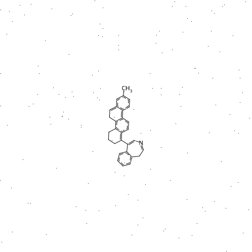 Cc1ccc2c(c1)=CCc1c3c(ccc1=2)=C(C1=CN=CCc2ccccc21)CCC3